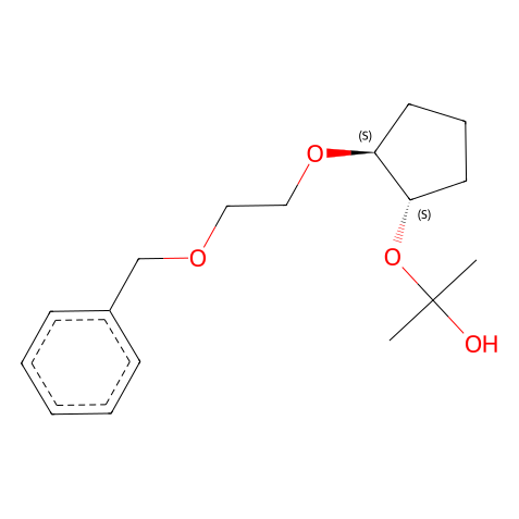 CC(C)(O)O[C@H]1CCC[C@@H]1OCCOCc1ccccc1